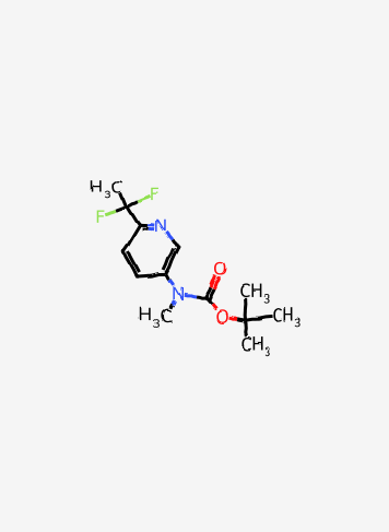 CN(C(=O)OC(C)(C)C)c1ccc(C(C)(F)F)nc1